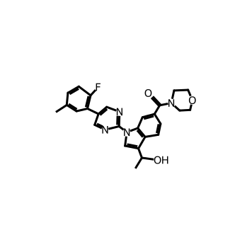 Cc1ccc(F)c(-c2cnc(-n3cc(C(C)O)c4ccc(C(=O)N5CCOCC5)cc43)nc2)c1